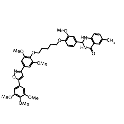 COc1cc(C2NC(=O)c3cc(C)ccc3N2)ccc1OCCCCCOc1c(OC)cc(-c2cc(-c3cc(OC)c(OC)c(OC)c3)on2)cc1OC